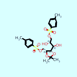 Cc1ccc(S(=O)(=O)OC[C@@H](O)[C@@H](O)[C@@H]2OC(C)(C)O[C@@H]2COS(=O)(=O)c2ccc(C)cc2)cc1